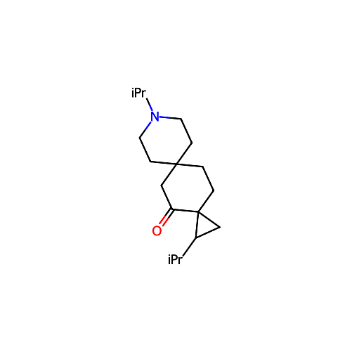 CC(C)C1CC12CCC1(CCN(C(C)C)CC1)CC2=O